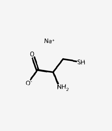 NC(CS)C(=O)[O-].[Na+]